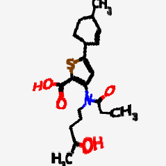 CCC(=O)N(CCCC(C)O)c1cc(C2C=CC(C)CC2)sc1C(=O)O